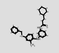 Cc1cc(OCc2ccccc2)ccc1Nc1cccc(NC(=O)CCC2CCCCC2)c1